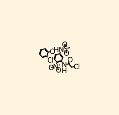 CS(=O)(=O)Nc1cc(NC(=O)CCl)c([N+](=O)[O-])cc1Oc1ccccc1Cl